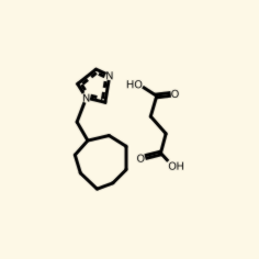 O=C(O)CCC(=O)O.c1cn(CC2CCCCCCC2)cn1